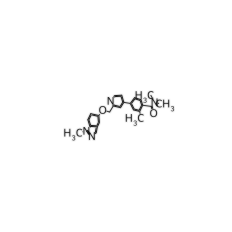 Cc1cc(-c2ccnc(COc3ccc4c(cnn4C)c3)c2)ccc1C(=O)N(C)C